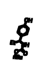 [CH2]CC(NC(=O)OCCCC)c1ccc(O)cc1